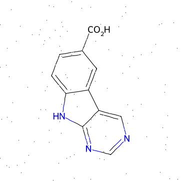 O=C(O)c1ccc2[nH]c3ncncc3c2c1